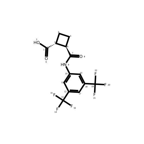 O=C(O)[C@@H]1CC[C@H]1C(=O)Nc1cc(C(F)(F)F)cc(C(F)(F)F)c1